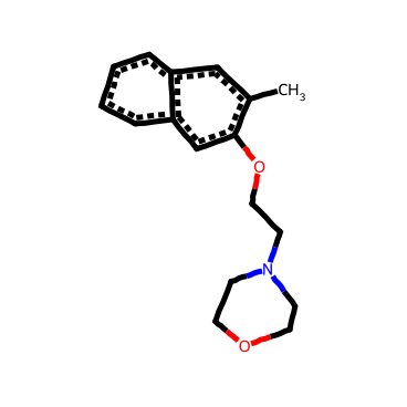 Cc1cc2ccccc2cc1OCCN1CCOCC1